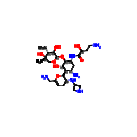 CN[C@@H]1[C@@H](O)[C@@H](O[C@@H]2[C@@H](O)[C@H](C3OC(CN)=CC[C@H]3NC3CNC3)[C@@H](N)C[C@H]2NC(=O)[C@@H](O)CCN)OC[C@]1(C)O